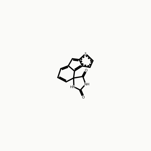 O=C1NC(=O)C2(C=CC=C3C=c4sccc4=C32)N1